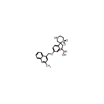 Cc1cc(COc2ccc(C3(CC(=O)NO)CNCCS3(=O)=O)cc2)c2ccccc2n1